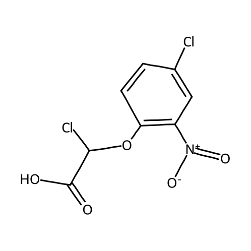 O=C(O)C(Cl)Oc1ccc(Cl)cc1[N+](=O)[O-]